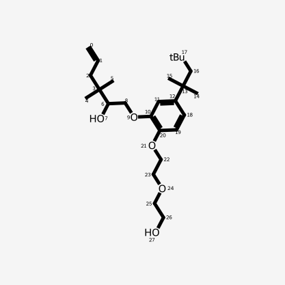 C=CCC(C)(C)C(O)COc1cc(C(C)(C)CC(C)(C)C)ccc1OCCOCCO